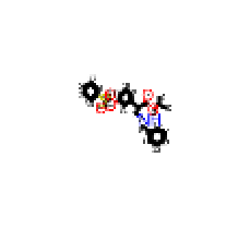 CC(C)OC(=O)C(CNCc1ccccc1)c1cccc(OS(=O)(=O)c2ccccc2)c1